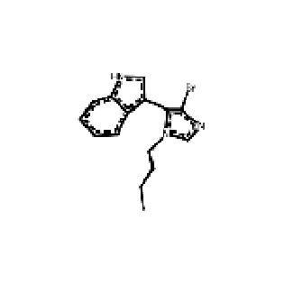 CCCCn1cnc(Br)c1-c1c[nH]c2ccccc12